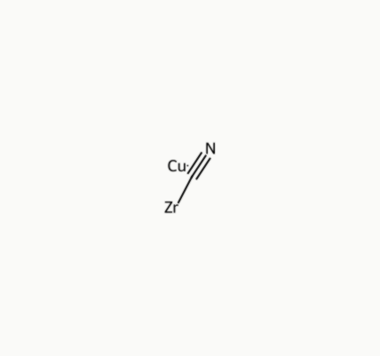 N#[C][Zr].[Cu]